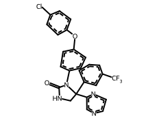 O=C1NCC(c2cccc(C(F)(F)F)c2)(c2cnccn2)N1c1ccc(Oc2ccc(Cl)cc2)cc1